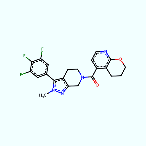 Cn1nc2c(c1-c1cc(F)c(F)c(F)c1)CCN(C(=O)c1ccnc3c1CCCO3)C2